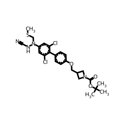 CSCN(NC#N)c1cc(Cl)c(-c2ccc(OCC3CN(C(=O)OC(C)(C)C)C3)cc2)c(Cl)c1